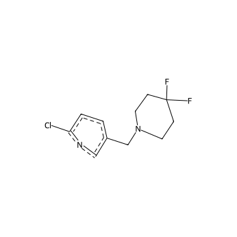 FC1(F)CCN(Cc2ccc(Cl)nc2)CC1